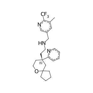 Cc1cc(CNCC[C@]2(c3ccccn3)CCOC3(CCCC3)C2)cnc1C(F)(F)F